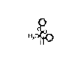 C[C@@H](NC1CCCCC1)C(=O)OC1CCCCC1